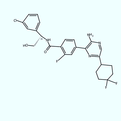 Nc1ncc(C2CCC(F)(F)CC2)nc1-c1ccc(C(=O)N[C@H](CO)c2cccc(Cl)c2)c(F)c1